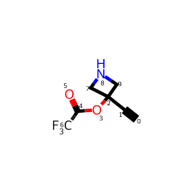 C#CC1(OC(=O)C(F)(F)F)CNC1